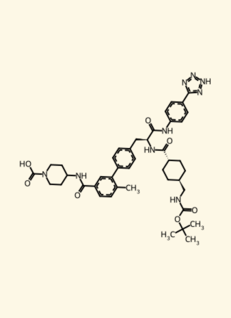 Cc1ccc(C(=O)NC2CCN(C(=O)O)CC2)cc1-c1ccc(C[C@H](NC(=O)[C@H]2CC[C@H](CNC(=O)OC(C)(C)C)CC2)C(=O)Nc2ccc(-c3nn[nH]n3)cc2)cc1